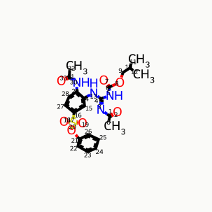 CC(=O)N=C(NC(=O)OCC(C)C)Nc1cc(S(=O)(=O)Oc2ccccc2)ccc1NC(C)=O